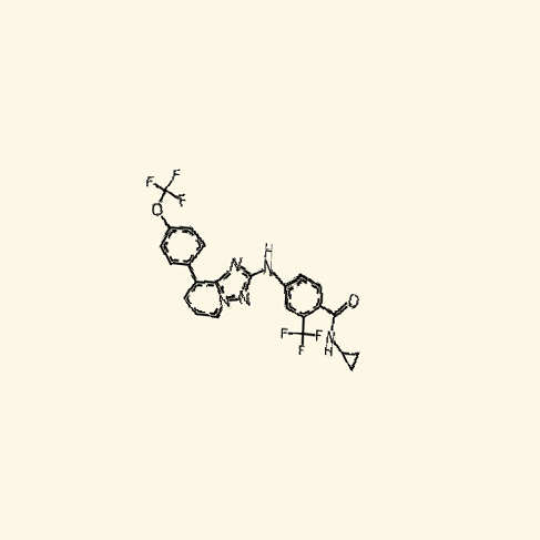 O=C(NC1CC1)c1ccc(Nc2nc3c(-c4ccc(OC(F)(F)F)cc4)cccn3n2)cc1C(F)(F)F